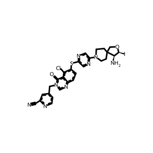 N#Cc1cc(Cn2cnc3ccc(Sc4cnc(N5CCC6(CC5)CO[C@@H](I)[C@H]6N)cn4)c(Cl)c3c2=O)ccn1